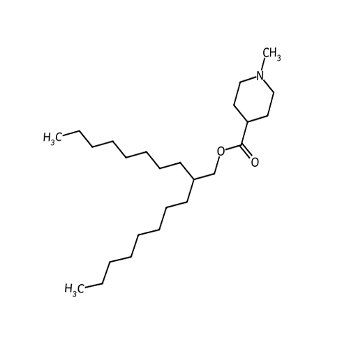 CCCCCCCCC(CCCCCCCC)COC(=O)C1CCN(C)CC1